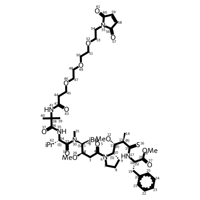 CC[C@H](C)[C@@H]([C@@H](CC(=O)N1CCC[C@H]1[C@H](OC)[C@@H](C)C(=S)N[C@@H](Cc1ccccc1)C(=O)OC)OC)N(C)C(=O)[C@@H](NC(=O)C(C)(C)NC(=O)CCOCCOCCOCCN1C(=O)C=CC1=O)C(C)C